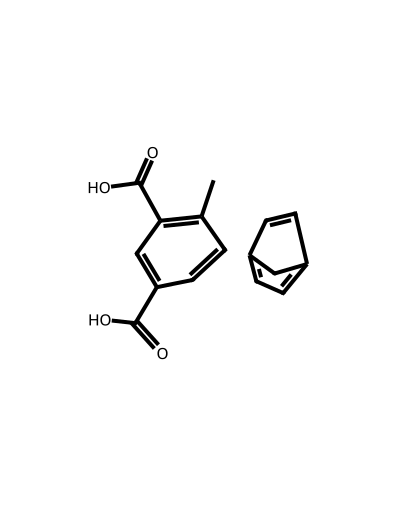 C1=CC2=CC=C1C2.Cc1ccc(C(=O)O)cc1C(=O)O